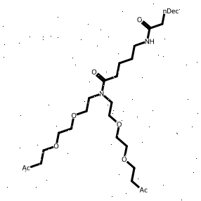 CCCCCCCCCCCC(=O)NCCCCC(=O)N(CCOCCOCCC(C)=O)CCOCCOCCC(C)=O